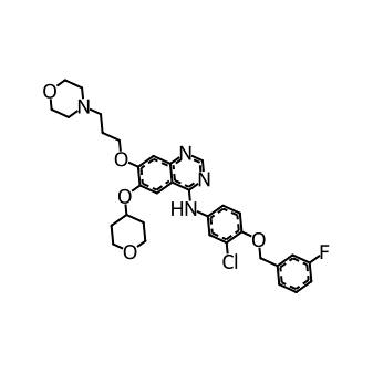 Fc1cccc(COc2ccc(Nc3ncnc4cc(OCCCN5CCOCC5)c(OC5CCOCC5)cc34)cc2Cl)c1